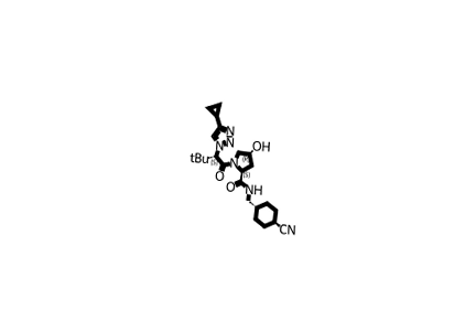 CC(C)(C)[C@@H](C(=O)N1C[C@H](O)C[C@H]1C(=O)NC[C@H]1CC[C@H](C#N)CC1)n1cc(C2CC2)nn1